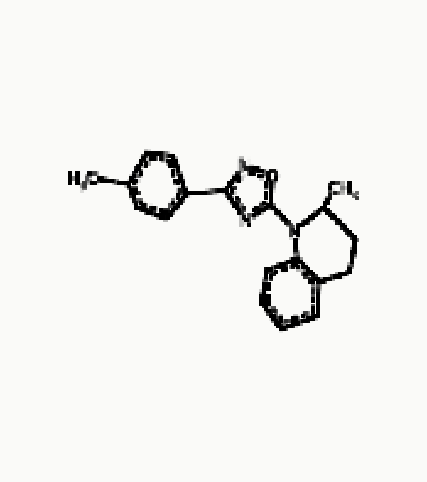 Cc1ccc(-c2noc(N3c4ccccc4CCC3C)n2)cc1